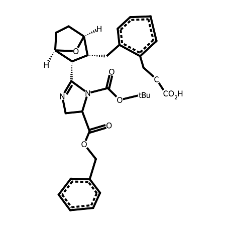 CC(C)(C)OC(=O)N1C([C@H]2[C@@H](Cc3ccccc3CCC(=O)O)[C@@H]3CC[C@H]2O3)=NCC1C(=O)OCc1ccccc1